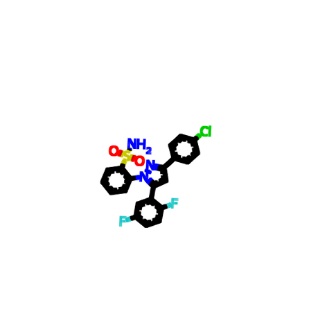 NS(=O)(=O)c1ccccc1-n1nc(-c2ccc(Cl)cc2)cc1-c1cc(F)ccc1F